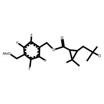 COCc1c(F)c(F)c(COC(=O)C2C(CC(C)(C)Cl)C2(C)C)c(F)c1F